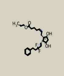 CCCOC(=O)CCC/C=C\C[C@@H]1[C@@H](/C=C/C(F)(F)CCc2ccccc2)[C@H](O)C[C@@H]1O